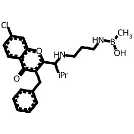 CB(O)NCCCNC(c1oc2cc(Cl)ccc2c(=O)c1Cc1ccccc1)C(C)C